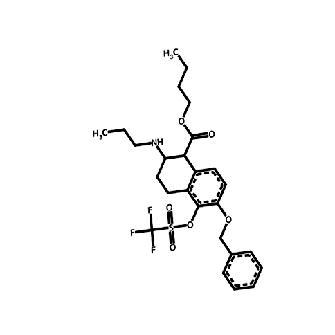 CCCCOC(=O)C1c2ccc(OCc3ccccc3)c(OS(=O)(=O)C(F)(F)F)c2CCC1NCCC